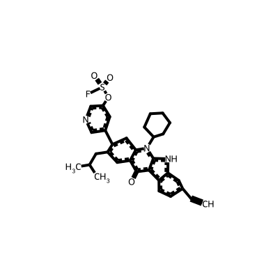 C#Cc1ccc2c(c1)[nH]c1c2c(=O)c2cc(CC(C)C)c(-c3cncc(OS(=O)(=O)F)c3)cc2n1C1CCCCC1